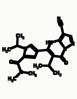 CC(C)c1c(-c2cc(C(=O)N(C)C)n(C(C)C)c2)[nH]c2c(C#N)cnn2c1=O